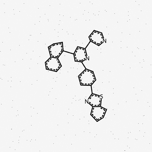 c1cncc(-c2cc(-c3cccc4ccccc34)cc(-c3ccc(-c4nc5ccccc5s4)cc3)n2)c1